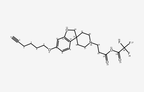 C#CCCCCOc1ccc2c(c1)OCC21CCN(CCC(=O)OC(=O)C(F)(F)F)CC1